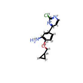 Nc1cc(-c2ccnc(Cl)n2)ccc1OCC1CC1